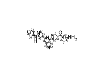 N[C@H]1CCCN(C(=O)C2CCN(c3nc(-c4ccnc(NC5CCOCC5)c4)cc4cnccc34)CC2)C1